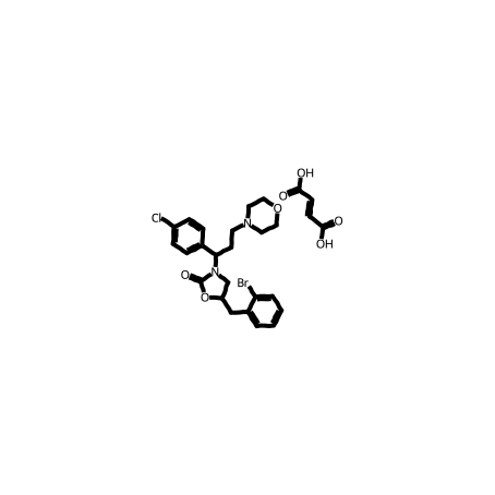 O=C(O)/C=C/C(=O)O.O=C1OC(Cc2ccccc2Br)CN1C(CCN1CCOCC1)c1ccc(Cl)cc1